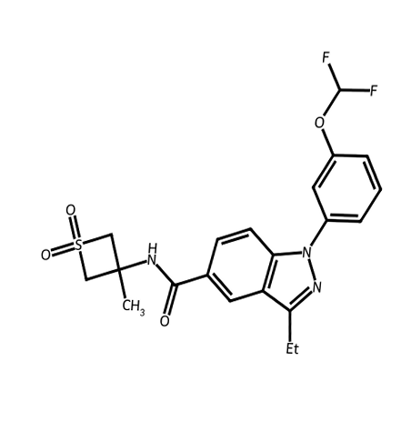 CCc1nn(-c2cccc(OC(F)F)c2)c2ccc(C(=O)NC3(C)CS(=O)(=O)C3)cc12